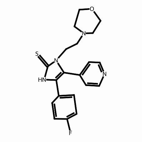 Fc1ccc(-c2[nH]c(=S)n(CCN3CCOCC3)c2-c2ccncc2)cc1